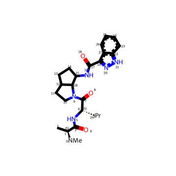 CN[C@@H](C)C(=O)N[C@H](C(=O)N1CCC2CCC(NC(=O)c3n[nH]c4ccccc34)C21)C(C)C